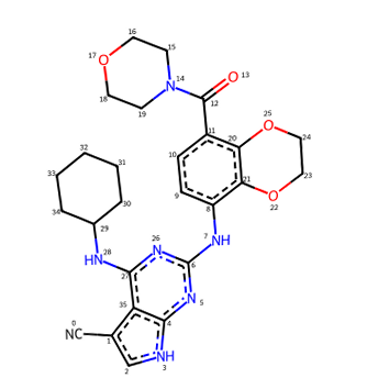 N#Cc1c[nH]c2nc(Nc3ccc(C(=O)N4CCOCC4)c4c3OCCO4)nc(NC3CCCCC3)c12